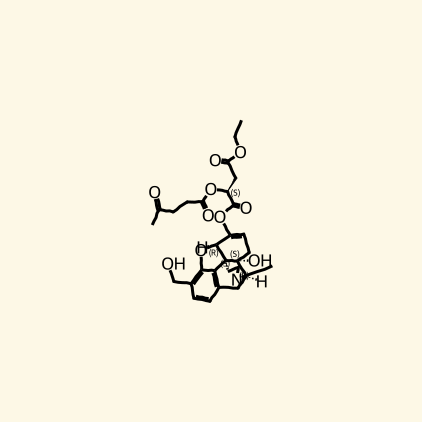 CCOC(=O)C[C@H](OC(=O)CCC(C)=O)C(=O)OC1=CC[C@@]2(O)[C@H]3Cc4ccc(CO)c5c4[C@@]2(CCN3C)[C@H]1O5